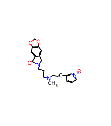 CN(CCCc1ccc[n+]([O-])c1)CCCN1Cc2cc3c(cc2C1=O)OCO3